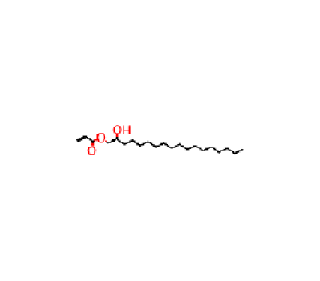 C=CC(=O)OCC(O)CCCCCCCCCCCCCCCC